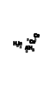 [AlH3].[Ce].[Cu].[InH3]